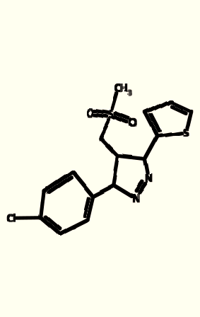 CS(=O)(=O)CC1C(c2ccc(Cl)cc2)N=NC1c1cccs1